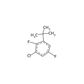 CC(C)(C)c1cc(F)cc(Cl)c1F